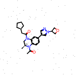 CC(=O)N1c2ccc(-c3cnn(C4COC4)c3)cc2N(C(=O)CC2CCCC2)C[C@@H]1C